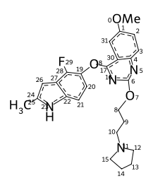 COc1ccc2nc(OCCCN3CCCC3)nc(Oc3ccc4[nH]c(C)cc4c3F)c2c1